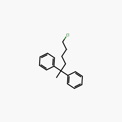 CC(CC[CH]CCl)(c1ccccc1)c1ccccc1